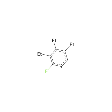 CCc1c[c]c(F)c(CC)c1CC